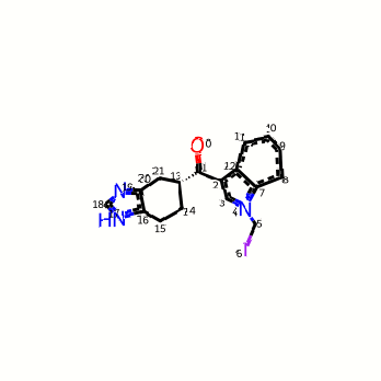 O=C(c1cn(CI)c2ccccc12)[C@@H]1CCc2[nH]cnc2C1